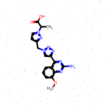 COc1cccc2c(-c3cn(Cc4ccn(C(C)C(=O)O)n4)nn3)nc(N)nc12